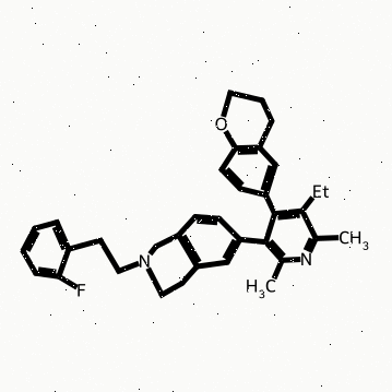 CCc1c(C)nc(C)c(-c2ccc3c(c2)CCN(CCc2ccccc2F)C3)c1-c1ccc2c(c1)CCCO2